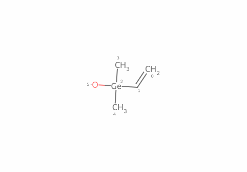 C=[CH][Ge]([CH3])([CH3])[O]